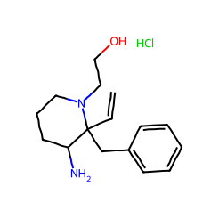 C=CC1(Cc2ccccc2)C(N)CCCN1CCO.Cl